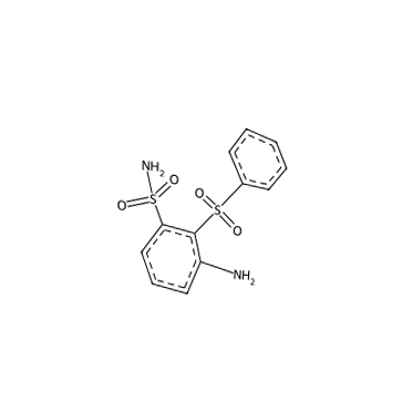 Nc1cccc(S(N)(=O)=O)c1S(=O)(=O)c1ccccc1